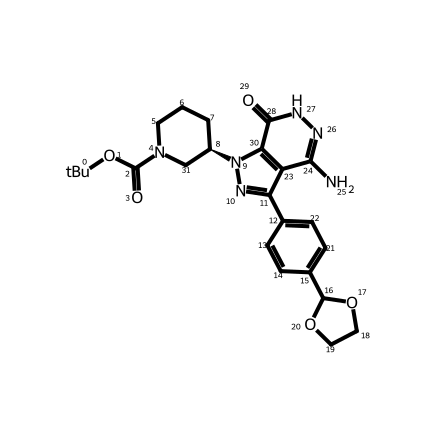 CC(C)(C)OC(=O)N1CCC[C@@H](n2nc(-c3ccc(C4OCCO4)cc3)c3c(N)n[nH]c(=O)c32)C1